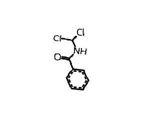 O=C(NC(Cl)Cl)c1ccccc1